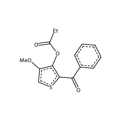 CCC(=O)Oc1c(OC)csc1C(=O)c1ccccc1